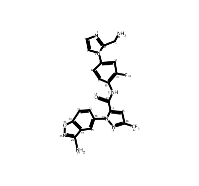 NCc1nccn1-c1ccc(NC(=O)c2cc(C(F)(F)F)nn2-c2ccc3onc(N)c3c2)c(F)c1